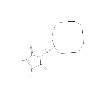 CCC(C)(C1CCCCCCCCCCC1)N1C(=O)C(C)=C(C)C1=O